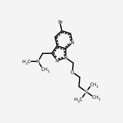 CN(C)Cc1nn(COCC[Si](C)(C)C)c2ncc(Br)cc12